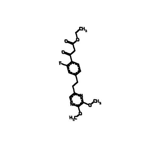 CCOC(=O)CC(=O)c1ccc(CCc2cnc(OC)c(OC)n2)cc1F